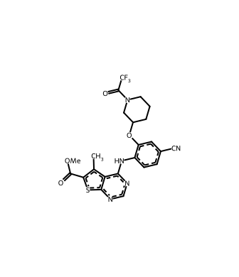 COC(=O)c1sc2ncnc(Nc3ccc(C#N)cc3OC3CCCN(C(=O)C(F)(F)F)C3)c2c1C